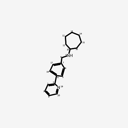 c1ccc(-c2ccc(CNC3CCCCCC3)cc2)nc1